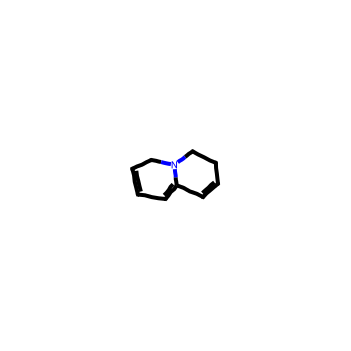 C1=CCN2CCC=CC2=C1